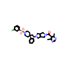 Cc1ncnc(C)c1C(=O)N1CC2CN(CCC3(c4ccccc4)CCN(S(=O)(=O)c4cccc(F)c4)CC3)CC2C1